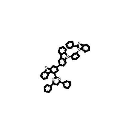 c1ccc(-c2cc(-c3ccccc3)nc(-c3cc(-c4ccc5c(c4)c4ccccc4n5-c4cccc(-n5c(-c6ccccc6)nc6ccccc65)c4)cc4sc5ccccc5c34)n2)cc1